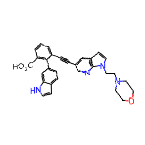 O=C(O)c1cccc(C#Cc2cnc3c(ccn3CCN3CCOCC3)c2)c1-c1ccc2cc[nH]c2c1